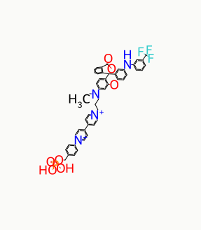 CCN(CCC[n+]1ccc(-c2cc[n+](-c3ccc(COP(=O)(O)O)cc3)cc2)cc1)c1ccc2c(c1)Oc1ccc(Nc3cccc(C(F)(F)F)c3)cc1C21OC(=O)c2ccccc21